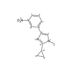 Cn1cc(-c2cccc([N+](=O)[O-])c2)nc1C1CC1